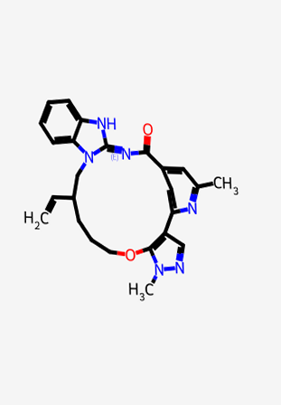 C=CC1CCCOc2c(cnn2C)-c2cc(cc(C)n2)C(=O)/N=C2\Nc3ccccc3N2C1